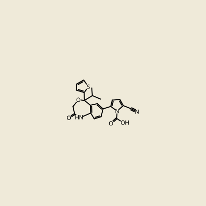 CC(C)C1(c2cccs2)OCC(=O)Nc2ccc(-c3ccc(C#N)n3C(=O)O)cc21